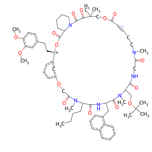 CCCCC1C(=O)NC(Cc2cccc3ccccc23)C(=O)N(C)C(COC(C)(C)C)C(=O)NCC(=O)N(C)CC/C=C\C(=O)OCC(C)(C)C(=O)C(=O)N2CCCCC2C(=O)O[C@H](CCc2ccc(OC)c(OC)c2)c2cccc(c2)OCC(=O)N1C